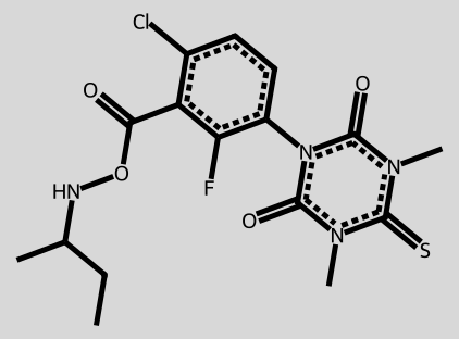 CCC(C)NOC(=O)c1c(Cl)ccc(-n2c(=O)n(C)c(=S)n(C)c2=O)c1F